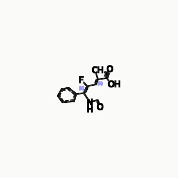 C/C(=C\C(F)=C(/NC=O)c1ccccc1)C(=O)O